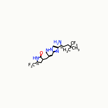 CC(C)(CC[C@H](N)c1cn2ncc(CC3C[C@@H](C(F)(F)F)NC3=O)cc2n1)C(F)(F)F